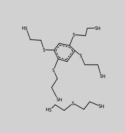 SCCSCCS.SCCSc1cc(SCCS)c(SCCS)cc1SCCS